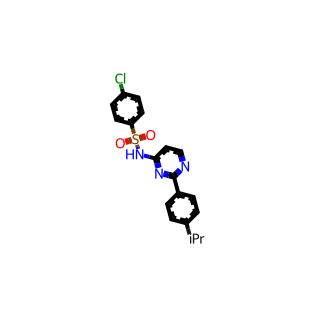 CC(C)c1ccc(-c2nccc(NS(=O)(=O)c3ccc(Cl)cc3)n2)cc1